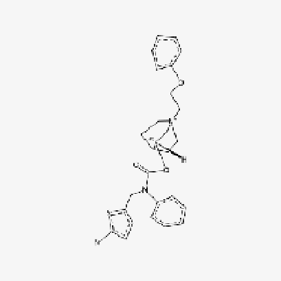 O=C(O[C@H]1C[N+]2(CCOc3ccccc3)CCC1CC2)N(Cc1ccc(Br)s1)c1ccccc1